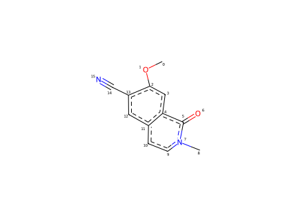 COc1cc2c(=O)n(C)ccc2cc1C#N